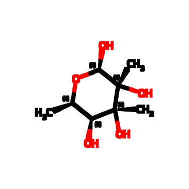 C[C@H]1O[C@@H](O)[C@](C)(O)[C@@](C)(O)[C@H]1O